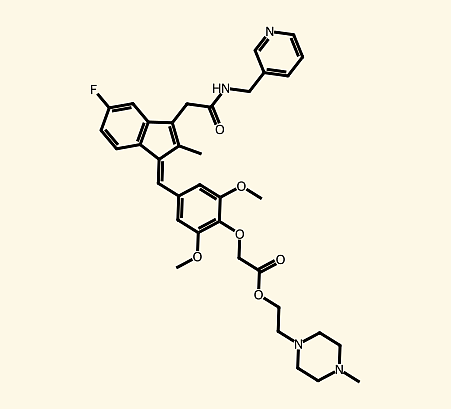 COc1cc(C=C2C(C)=C(CC(=O)NCc3cccnc3)c3cc(F)ccc32)cc(OC)c1OCC(=O)OCCN1CCN(C)CC1